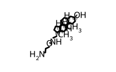 C[C@]12CC[C@H](O)C[C@H]1CC[C@@H]1[C@@H]2CC[C@]2(C)[C@@H](CCNOCCCN)CC[C@]12O